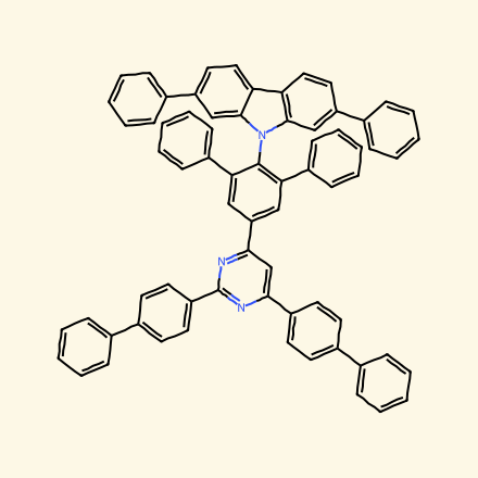 c1ccc(-c2ccc(-c3cc(-c4cc(-c5ccccc5)c(-n5c6cc(-c7ccccc7)ccc6c6ccc(-c7ccccc7)cc65)c(-c5ccccc5)c4)nc(-c4ccc(-c5ccccc5)cc4)n3)cc2)cc1